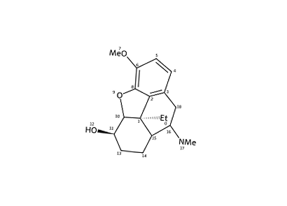 CC[C@@]12c3c4ccc(OC)c3OC1[C@H](O)CCC2C(NC)C4